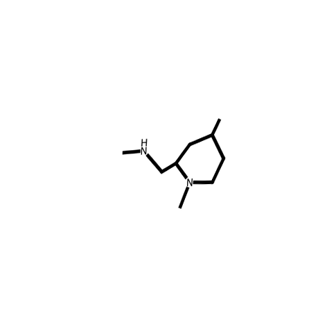 CNCC1CC(C)CCN1C